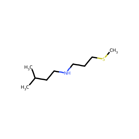 CSCCCNCCC(C)C